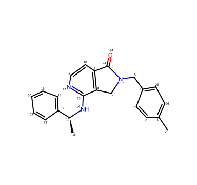 Cc1ccc(CN2Cc3c(ccnc3N[C@@H](C)c3ccccc3)C2=O)cc1